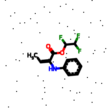 CC=C(Nc1ccccc1)C(=O)OC(F)C(F)F